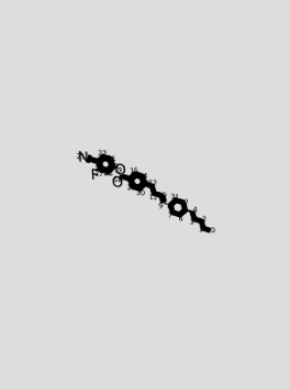 CCCCC[C@H]1CC[C@H](C=CCCc2ccc(C(=O)Oc3ccc(C#N)c(F)c3)cc2)CC1